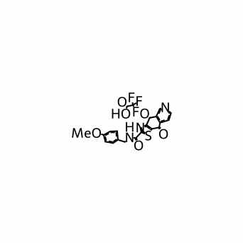 COc1ccc(CNC(=O)c2nc3c(s2)C(=O)c2ccncc2C3=O)cc1.O=C(O)C(F)(F)F